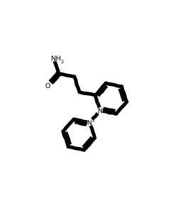 NC(=O)CCc1cccc[n+]1-[n+]1ccccc1